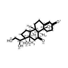 C[C@]12CCC(=O)C=C1CC[C@@H]1[C@@H]2C(=O)C[C@@]2(C)[C@H]1CC[C@]2(O)[C@@H](O)CO